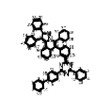 c1ccc(-c2ccc(-c3nc(-c4ccccc4)nc(-c4cccc(-c5c(-c6ccccc6)n6nc(-c7ccccc7)c(-c7ccccc7)c6c6ccccc56)c4)n3)cc2)cc1